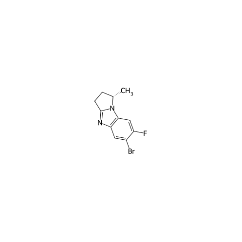 C[C@H]1CCc2nc3cc(Br)c(F)cc3n21